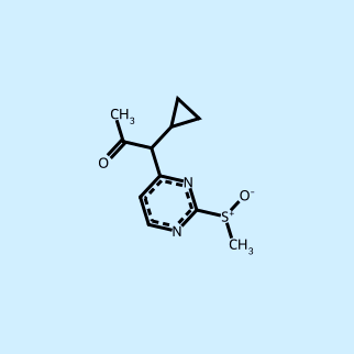 CC(=O)C(c1ccnc([S+](C)[O-])n1)C1CC1